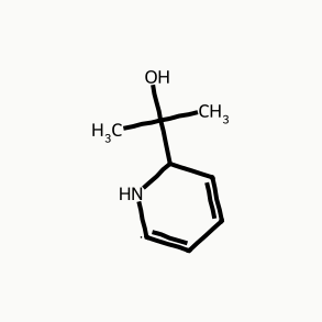 CC(C)(O)C1C=CC=[C]N1